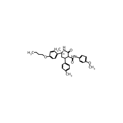 CCCCOc1ccc([C@]2(C)CC(c3ccc(C)cc3)C(C(=O)Nc3ccc(OC)cc3)C(=O)N2)cc1